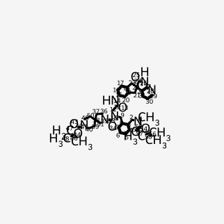 CN(Cc1ccccc1CN(CC(=O)Nc1ccc2c(c1)CC1(C2)C(=O)Nc2ncccc21)C(=O)N1CCC2(CCN(C(=O)OC(C)(C)C)CC2)C1)C(=O)OC(C)(C)C